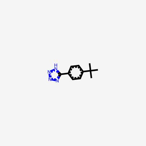 CC(C)(C)c1ccc(-c2nnn[nH]2)cc1